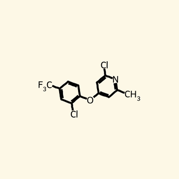 Cc1cc(Oc2ccc(C(F)(F)F)cc2Cl)cc(Cl)n1